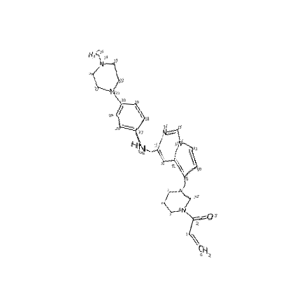 C=CC(=O)N1CCCC(c2ccn3cnc(Nc4ccc(N5CCN(C)CC5)cc4)cc23)C1